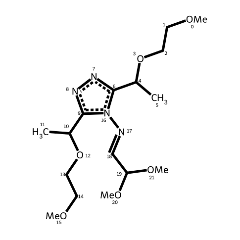 COCCOC(C)c1nnc(C(C)OCCOC)n1N=CC(OC)OC